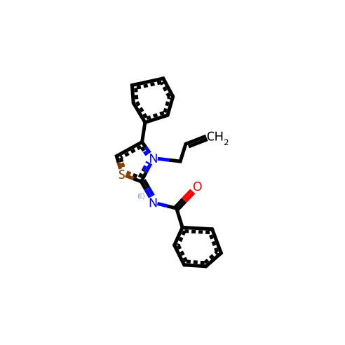 C=CCn1c(-c2ccccc2)cs/c1=N/C(=O)c1ccccc1